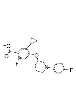 COC(=O)c1cc(C2CC2)c(O[C@@H]2CCCN(c3ccc(F)cc3)C2)cc1F